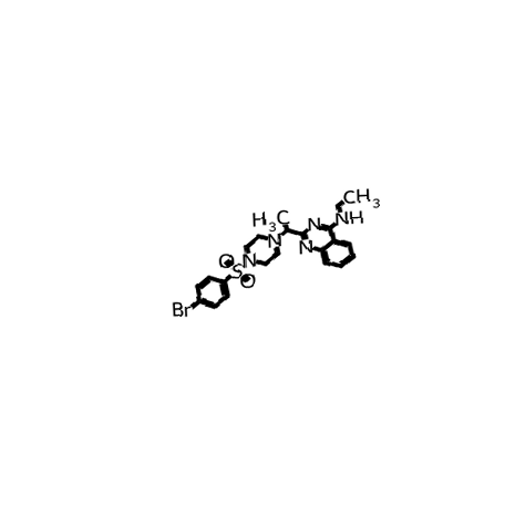 CCNc1nc(C(C)N2CCN(S(=O)(=O)c3ccc(Br)cc3)CC2)nc2ccccc12